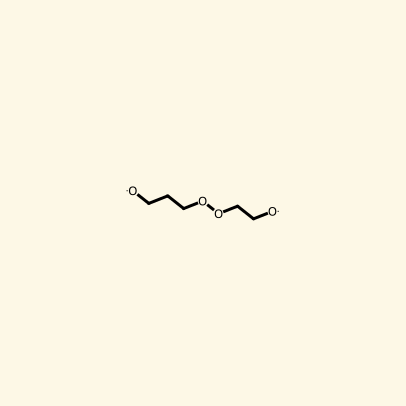 [O]CCCOOCC[O]